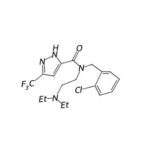 CCN(CC)CCN(Cc1ccccc1Cl)C(=O)c1cc(C(F)(F)F)n[nH]1